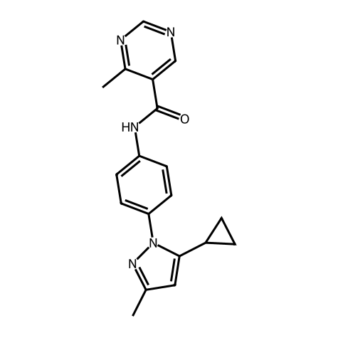 Cc1cc(C2CC2)n(-c2ccc(NC(=O)c3cncnc3C)cc2)n1